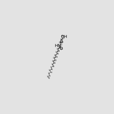 CCCCCCCCCCCCCCCCCCCCC(=O)NCCOCCO